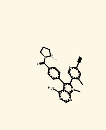 C#Cc1cc(C)c(-c2c(-c3ccc(C(=O)N4CCC[C@@H]4C)cc3)c3c(N)ncnc3n2C)cn1